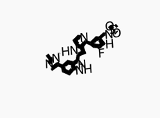 Cc1ncc(-c2ccc3[nH]nc(-c4cc5c(-c6cc(F)cc(CNS(C)(=O)=O)c6)nccc5[nH]4)c3c2)n1C